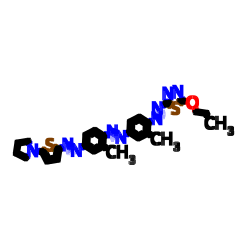 CCCOc1nnc(/N=N/c2ccc(/N=N/c3ccc(/N=N/c4ccc(N5CCCC5)s4)cc3C)cc2C)s1